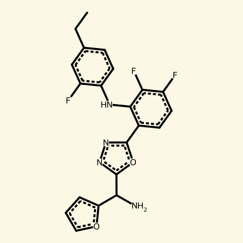 CCc1ccc(Nc2c(-c3nnc(C(N)c4ccco4)o3)ccc(F)c2F)c(F)c1